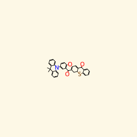 CC1(C)c2ccccc2N(c2ccc3oc4c(c(=O)c3c2)CC2Sc3ccccc3C(=O)C2=C4)c2ccccc21